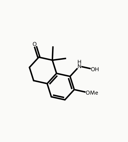 COc1ccc2c(c1NO)C(C)(C)C(=O)CC2